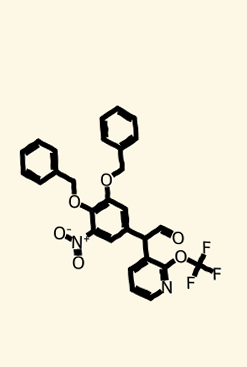 O=CC(c1cc(OCc2ccccc2)c(OCc2ccccc2)c([N+](=O)[O-])c1)c1cccnc1OC(F)(F)F